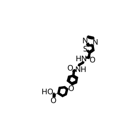 O=C(NCCNC(=O)c1cc2nccnc2s1)c1ccc(O[C@H]2CC[C@@H](C(=O)O)CC2)cc1